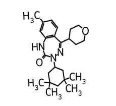 Cc1ccc2c(c1)NC(=O)N(C1CC(C)(C)CC(C)(C)C1)N=C2C1CCOCC1